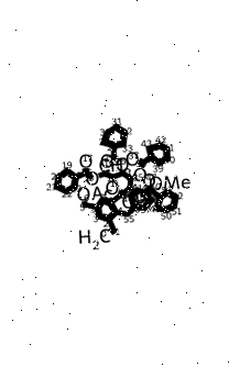 C=Cc1cc(COC(C)=O)cc([C@@]2(O)O[C@H]([C@H](C)OC(=O)c3ccccc3)[C@@H](OC(=O)c3ccccc3)[C@H](OC(=O)c3ccccc3)[C@H]2OC(=O)c2ccccc2)c1Cc1ccc(OC)cc1